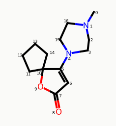 CN1CCN(C2=CC(=O)OC23CCCC3)CC1